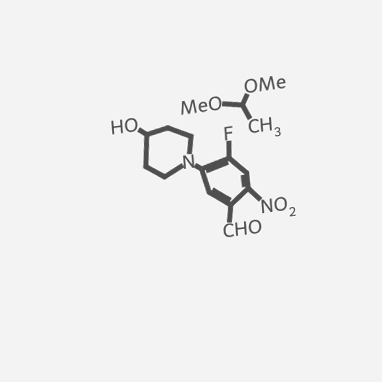 COC(C)OC.O=Cc1cc(N2CCC(O)CC2)c(F)cc1[N+](=O)[O-]